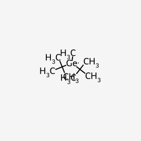 [CH3][Ge]([C](C)(C)C)[C](C)(C)C